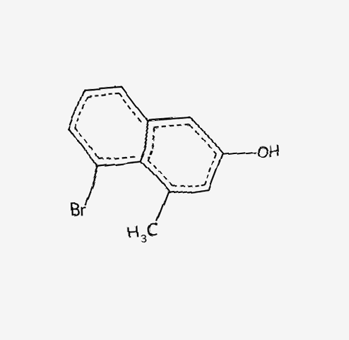 Cc1cc(O)cc2cccc(Br)c12